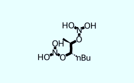 CCCC[C@H](ON(O)O)[C@@H](C)ON(O)O